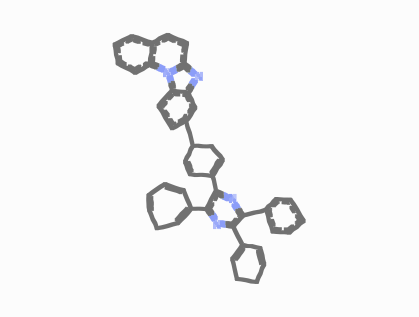 C1=CCC=C(c2nc(C3=CCCC=C3)c(-c3ccccc3)nc2C2=CCC(c3ccc4c(c3)nc3ccc5ccccc5n34)C=C2)C=C1